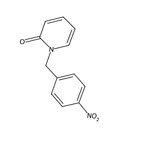 O=c1ccccn1Cc1ccc([N+](=O)[O-])cc1